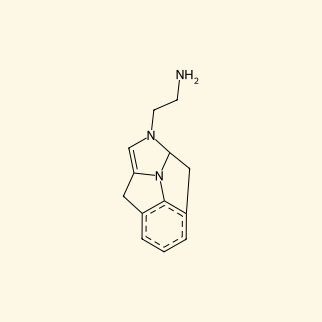 NCCN1C=C2Cc3cccc4c3N2C1C4